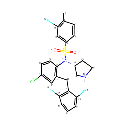 Cc1ccc(S(=O)(=O)N(c2ccc(Cl)cc2Cc2c(F)cccc2F)[C@@H]2CCNC2)cc1F